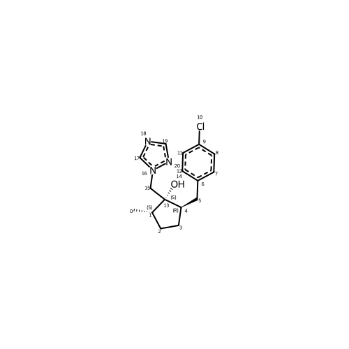 C[C@H]1CC[C@H](Cc2ccc(Cl)cc2)[C@]1(O)Cn1cncn1